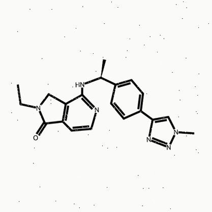 CCN1Cc2c(ccnc2N[C@@H](C)c2ccc(-c3cn(C)nn3)cc2)C1=O